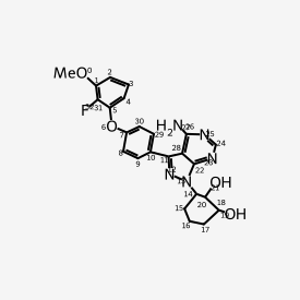 COc1cccc(Oc2ccc(-c3nn(C4CCCC(O)C4O)c4ncnc(N)c34)cc2)c1F